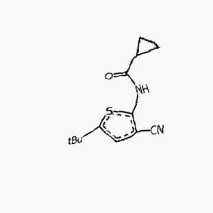 CC(C)(C)c1cc(C#N)c(NC(=O)C2CC2)s1